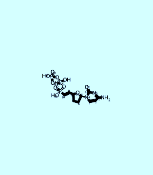 Nc1ccn([C@H]2CCC(/C=C/P(=O)(O)OP(=O)(O)OP(=O)(O)O)O2)c(=O)n1